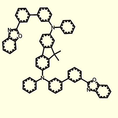 CC1(C)c2cc(N(c3ccccc3)c3cccc(-c4cccc(-c5nc6ccccc6o5)c4)c3)ccc2-c2ccc(N(c3ccccc3)c3cccc(-c4cccc(-c5nc6ccccc6o5)c4)c3)cc21